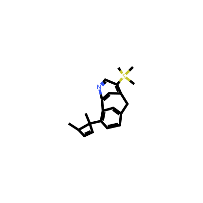 CC1C=CC1(C)c1ccc2cc1-c1cc(c(S(C)(C)C)cn1)C2